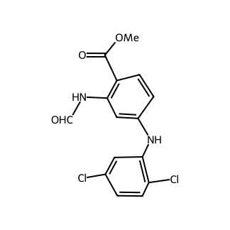 COC(=O)c1ccc(Nc2cc(Cl)ccc2Cl)cc1NC=O